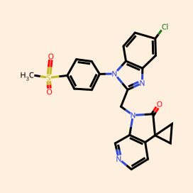 CS(=O)(=O)c1ccc(-n2c(CN3C(=O)C4(CC4)c4ccncc43)nc3cc(Cl)ccc32)cc1